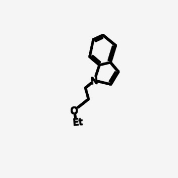 CCOCCn1ccc2ccccc21